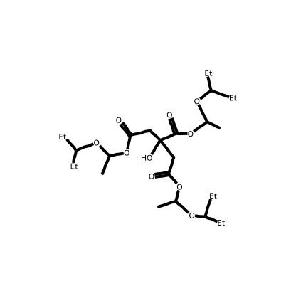 CCC(CC)OC(C)OC(=O)CC(O)(CC(=O)OC(C)OC(CC)CC)C(=O)OC(C)OC(CC)CC